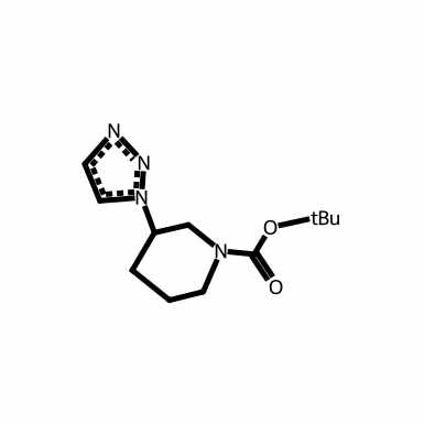 CC(C)(C)OC(=O)N1CCCC(n2ccnn2)C1